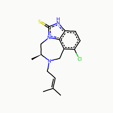 CC(C)=CCN1Cc2c(Cl)ccc3[nH]c(=S)n(c23)C[C@@H]1C